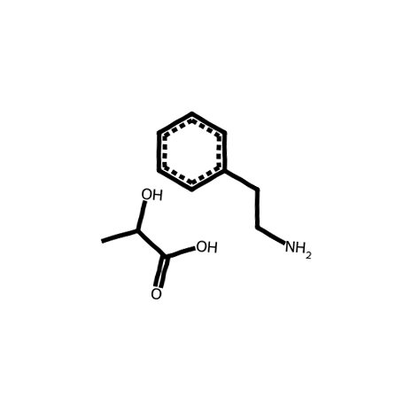 CC(O)C(=O)O.NCCc1ccccc1